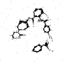 NC(=O)c1ccccc1.O=C(Nc1c(Cl)cccc1C(=O)Nc1ccc(N2CCCNC2=O)cc1)c1ccc(Cl)cc1